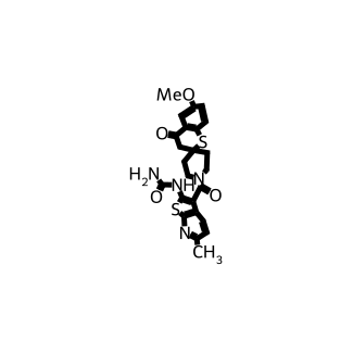 COc1ccc2c(c1)C(=O)CC1(CCN(C(=O)c3c(NC(N)=O)sc4nc(C)ccc34)CC1)S2